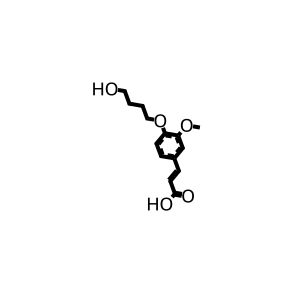 COc1cc(/C=C/C(=O)O)ccc1OCCCCO